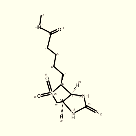 CNC(=O)CCCC[C@H]1[C@H]2NC(=S)N[C@H]2CS1(=O)=O